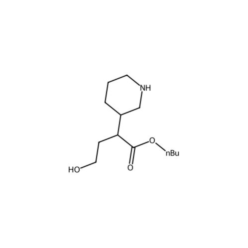 CCCCOC(=O)C(CCO)C1CCCNC1